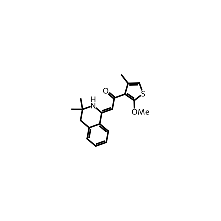 COc1scc(C)c1C(=O)C=C1NC(C)(C)Cc2ccccc21